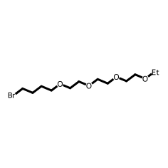 CCOCCOCCOCCOCCCCBr